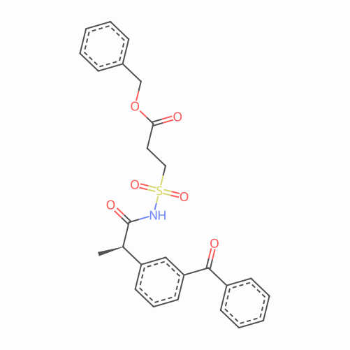 C[C@@H](C(=O)NS(=O)(=O)CCC(=O)OCc1ccccc1)c1cccc(C(=O)c2ccccc2)c1